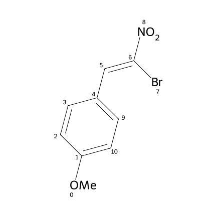 COc1ccc(C=C(Br)[N+](=O)[O-])cc1